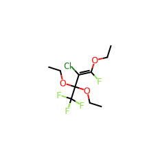 CCOC(F)=C(Cl)C(OCC)(OCC)C(F)(F)F